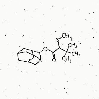 CSC(C(=O)OC1C2CC3CC(C2)CC1C3)C(C)(C)C